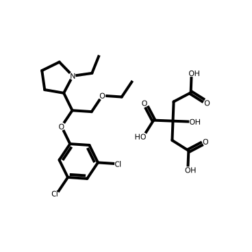 CCOCC(Oc1cc(Cl)cc(Cl)c1)C1CCCN1CC.O=C(O)CC(O)(CC(=O)O)C(=O)O